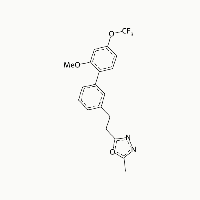 COc1cc(OC(F)(F)F)ccc1-c1cccc(CCc2nnc(C)o2)c1